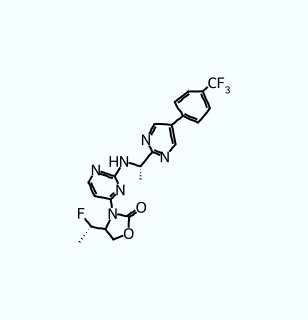 C[C@H](Nc1nccc(N2C(=O)OCC2[C@H](C)F)n1)c1ncc(-c2ccc(C(F)(F)F)cc2)cn1